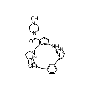 CN1CCN(C(=O)c2ccc3cc2CN2CCC[C@H]2C(=O)NCc2cccc(c2)-c2ccnc(n2)N3)CC1